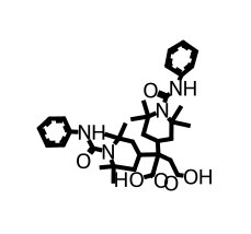 CC1(C)CC(C(CC(=O)O)(C(=O)O)C2CC(C)(C)N(C(=O)Nc3ccccc3)C(C)(C)C2)CC(C)(C)N1C(=O)Nc1ccccc1